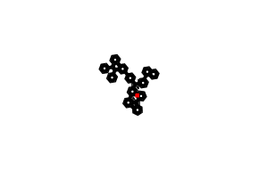 c1ccc(-c2c(-c3ccccc3)c3cc(-c4ccc(N(c5ccc(-c6cccc7c8ccccc8n(-c8ccccc8)c67)cc5)c5cccc(-c6cccc7ccccc67)c5)cc4)ccc3c3ccccc23)cc1